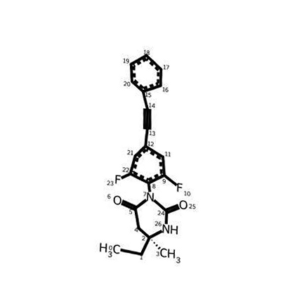 CC[C@@]1(C)CC(=O)N(c2c(F)cc(C#Cc3ccccc3)cc2F)C(=O)N1